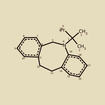 CC(C)C(C)(C)N1Cc2ccccc2CCc2ccccc21